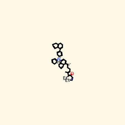 CC/C=C\c1oc(CC[C@@H](C)C2=CC=C(N(C3=CC=CCC3)[C@H]3C=CC(C4=CCCC5=C4C=CCC5)=CC3)[C@@H]3CCC=CC23)c(C)c1CC